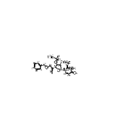 CO[C@@H]1[C@H](O[Si](C)(C)C(C)(C)C)[C@@H](C(I)COCc2ccccc2)O[C@H]1n1ccc(=O)[nH]c1=O